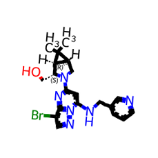 CC1(C)[C@@H]2[C@@H](CO)N(c3cc(NCc4cccnc4)n4ncc(Br)c4n3)C[C@@H]21